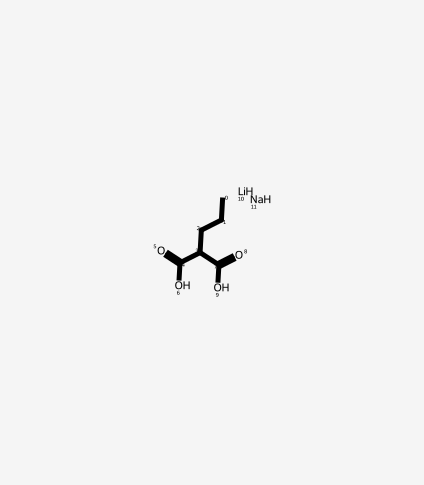 CCCC(C(=O)O)C(=O)O.[LiH].[NaH]